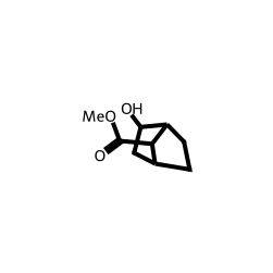 COC(=O)C1C2CCC1C(O)C2